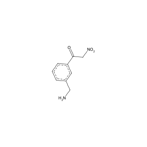 NCc1cccc(C(=O)C[N+](=O)[O-])c1